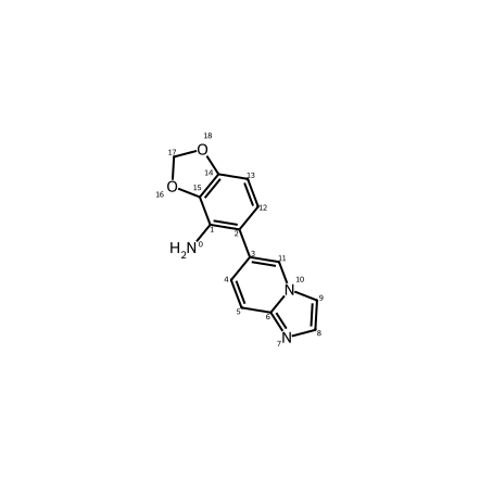 Nc1c(-c2ccc3nccn3c2)ccc2c1OCO2